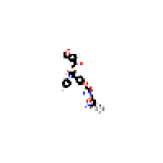 CCC(CC(=O)CNC(=O)COc1ccc([C@@H]2[C@@H](SCC(O)c3ccc4c(c3)CCO4)C(=O)N2c2ccc(F)cc2)cc1)[C@@H](N)C(=O)O